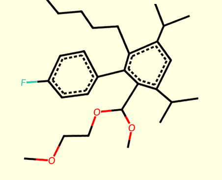 CCCCCc1c(C(C)C)cc(C(C)C)c(C(OC)OCCOC)c1-c1ccc(F)cc1